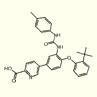 Cc1ccc(NC(=O)Nc2cc(-c3ccc(C(=O)O)nc3)ccc2Oc2ccccc2C(C)(C)C)cc1